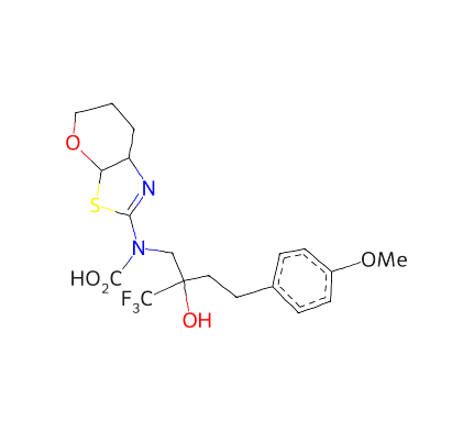 COc1ccc(CCC(O)(CN(C(=O)O)C2=NC3CCCOC3S2)C(F)(F)F)cc1